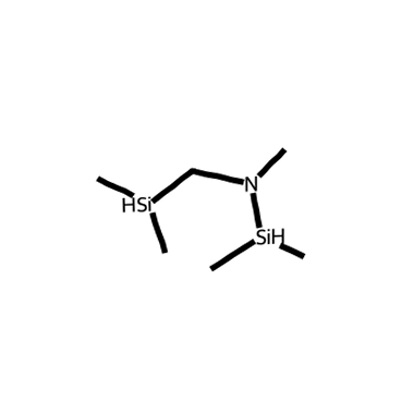 CN(C[SiH](C)C)[SiH](C)C